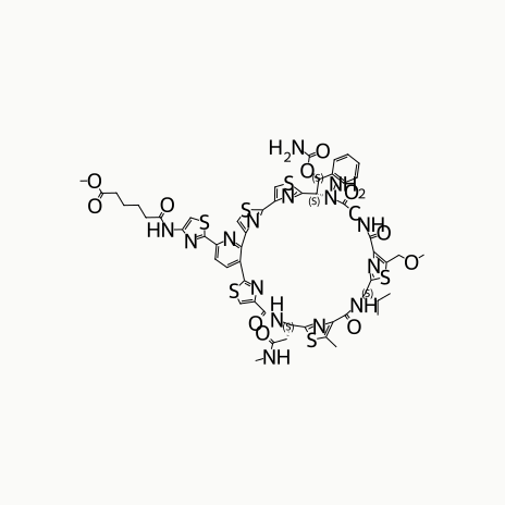 CNC(=O)C[C@@H]1NC(=O)c2csc(n2)-c2ccc(-c3nc(NC(=O)CCCCC(=O)OC)cs3)nc2-c2csc(n2)-c2csc(n2)[C@H]([C@@H](OC(N)=O)c2ccccc2)N(N)C(=O)CNC(=O)c2nc(sc2COC)[C@H](C(C)C)NC(=O)c2nc1sc2C